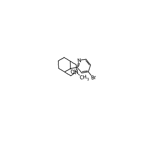 CN1CC2CCCC(C1)C2(O)c1cc(Br)ccn1